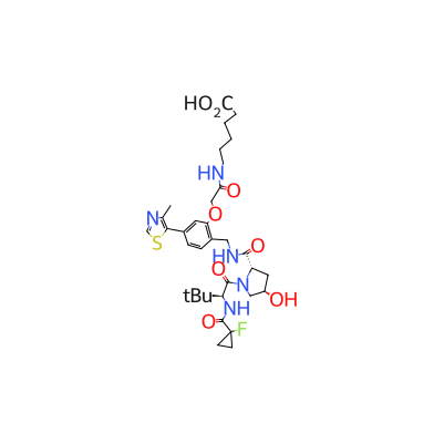 Cc1ncsc1-c1ccc(CNC(=O)[C@@H]2C[C@@H](O)CN2C(=O)[C@@H](NC(=O)C2(F)CC2)C(C)(C)C)c(OCC(=O)NCCCCCC(=O)O)c1